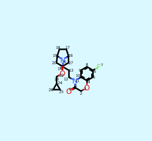 O=C1COc2cc(F)ccc2N1CCCN1C2CCC1CC(OCC1CC1)C2